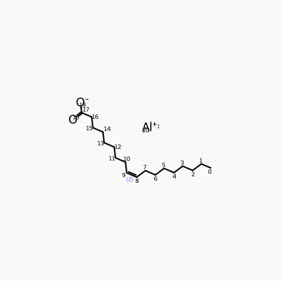 CCCCCCCC/C=C\CCCCCCCC(=O)[O-].[Al+]